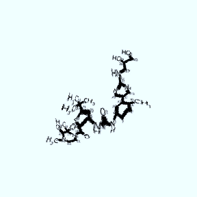 Cc1ccc(NC(=O)Nc2cc(C(C)(C)C)sc2C(=O)N2CCN(C)C(=O)C2(C)C)cc1-c1cnc(NCC(O)CO)nc1